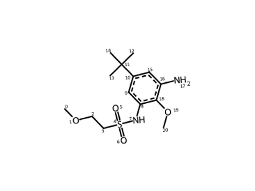 COCCS(=O)(=O)Nc1cc(C(C)(C)C)cc(N)c1OC